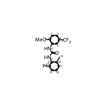 COc1ccc(C(F)(F)F)cc1NC(=O)Nc1c(F)cccc1I